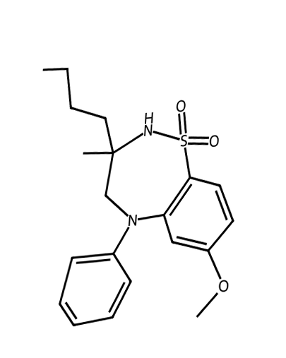 CCCCC1(C)CN(c2ccccc2)c2cc(OC)ccc2S(=O)(=O)N1